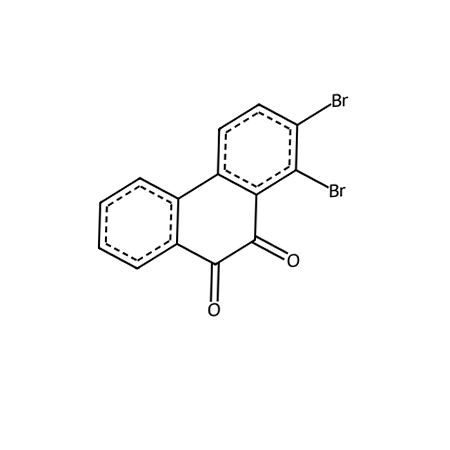 O=C1C(=O)c2c(ccc(Br)c2Br)-c2ccccc21